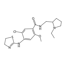 CCN1CCCC1CNC(=O)c1cc(Cl)c(NC2=NCCS2)cc1OC